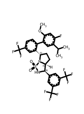 COc1cc(F)c(C(C)C)cc1-c1ccc(C(F)(F)F)cc1[C@@H]1CC[C@H]2[C@@H](c3cc(C(F)(F)F)cc(C(F)(F)F)c3)NS(=O)(=O)N12